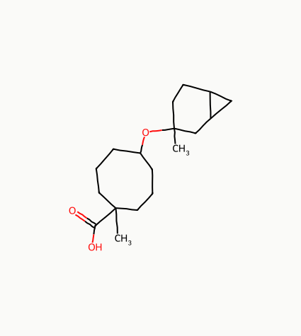 CC1(OC2CCCC(C)(C(=O)O)CCC2)CCC2CC2C1